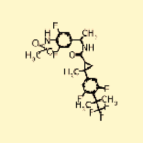 CC(NC(=O)C1CC1(C)c1cc(F)c(C(C)(C)C(F)(F)F)c(F)c1)c1cc(F)c(NS(C)(=O)=O)c(F)c1